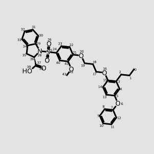 CCCc1cc(Oc2ccccc2)ccc1OCCCOc1ccc(S(=O)(=O)N2c3ccccc3C[C@@H]2C(=O)O)cc1OC